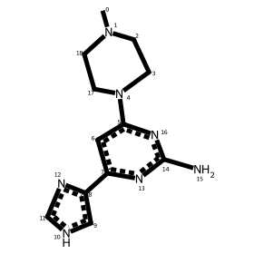 CN1CCN(c2cc(-c3c[nH]cn3)nc(N)n2)CC1